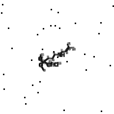 CO[Si](CCCNCC=C(C)C)(OC)OC.Cl